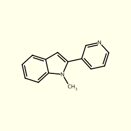 Cn1c(-c2cccnc2)cc2ccccc21